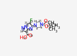 CC(C)(C)OC(=O)N1CCN(c2nc3c(C(=O)O)cnn3cc2F)CC1